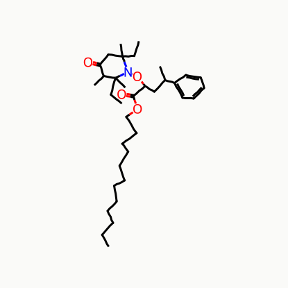 CCCCCCCCCCCCOC(=O)C(CC(C)c1ccccc1)ON1C(C)(CC)CC(=O)C(C)C1(C)CC